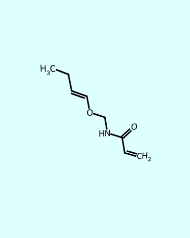 C=CC(=O)NCOC=CCC